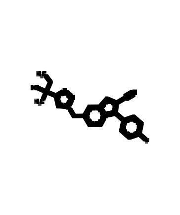 CCC(C)(O)c1cn(Cc2ccn3c(-c4ccc(F)cc4)c(C#N)cc3c2)nn1